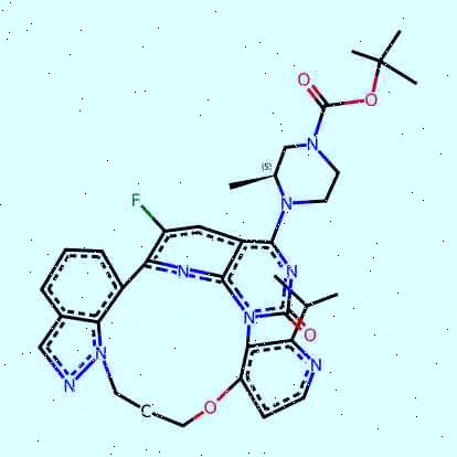 CC(C)c1nccc2c1-n1c(=O)nc(N3CCN(C(=O)OC(C)(C)C)C[C@@H]3C)c3cc(F)c(nc31)-c1cccc3cnn(c13)CCCO2